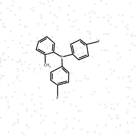 Cc1ccccc1P(c1ccc(F)cc1)c1ccc(F)cc1